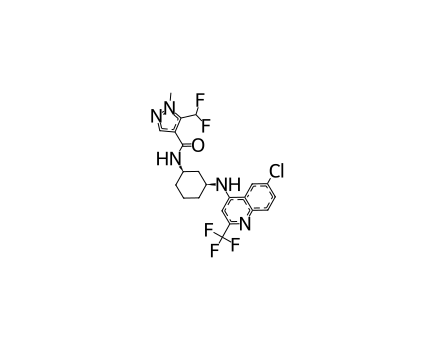 Cn1ncc(C(=O)N[C@@H]2CCC[C@H](Nc3cc(C(F)(F)F)nc4ccc(Cl)cc34)C2)c1C(F)F